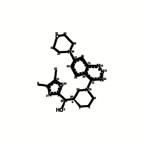 Cc1nc([C@H](O)[C@@H]2CCCN(c3nnnc4cc(N5CCOCC5)ccc34)C2)sc1C